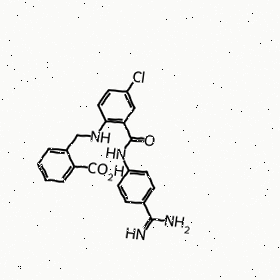 N=C(N)c1ccc(NC(=O)c2cc(Cl)ccc2NCc2ccccc2C(=O)O)cc1